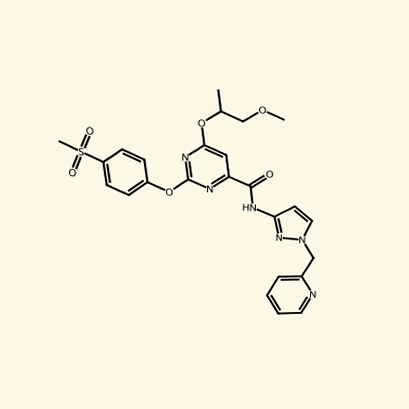 COCC(C)Oc1cc(C(=O)Nc2ccn(Cc3ccccn3)n2)nc(Oc2ccc(S(C)(=O)=O)cc2)n1